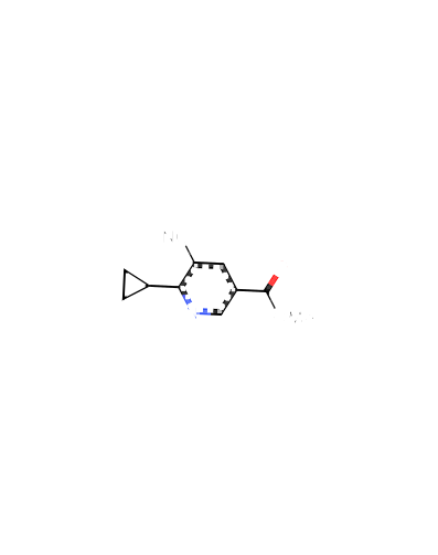 COC(=O)c1cnc(C2CC2)c(C#N)c1